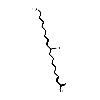 CCCCCCC/C=C/C(O)CCCCCC=CC(=O)O